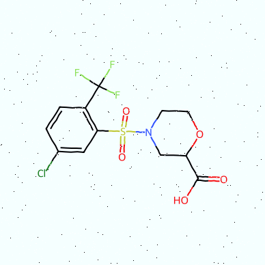 O=C(O)C1CN(S(=O)(=O)c2cc(Cl)ccc2C(F)(F)F)CCO1